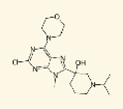 CC(C)N1CCCC(O)(c2nc3c(N4CCOCC4)nc(Cl)nc3n2C)C1